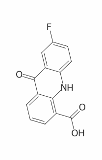 O=C(O)c1cccc2c(=O)c3cc(F)ccc3[nH]c12